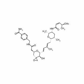 CC(=O)O[C@@H](C)/C=C\C(=O)N[C@@H]1C[C@H](C)[C@H](C/C=C(C)/C=C/[C@H]2O[C@H](CC(=O)NCc3ccc(C(N)=O)cc3)C[C@@]3(CO3)[C@@H]2O)O[C@@H]1C